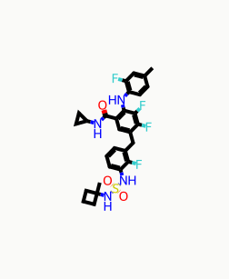 Cc1ccc(Nc2c(C(=O)NC3CC3)cc(Cc3cccc(NS(=O)(=O)NC4(C)CCC4)c3F)c(F)c2F)c(F)c1